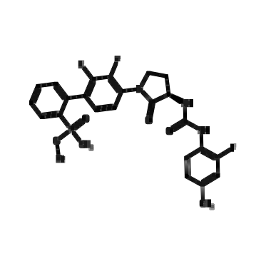 CCOP(C)(=O)c1ccccc1-c1ccc(N2CC[C@@H](NC(=O)Nc3ccc(C)cc3F)C2=O)c(F)c1F